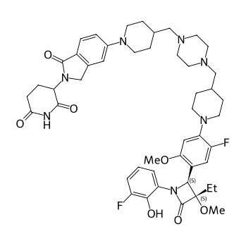 CC[C@@]1(OC)C(=O)N(c2cccc(F)c2O)[C@H]1c1cc(F)c(N2CCC(CN3CCN(CC4CCN(c5ccc6c(c5)CN(C5CCC(=O)NC5=O)C6=O)CC4)CC3)CC2)cc1OC